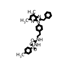 Cc1ccc(S(=O)(=O)NC(=O)NCCc2ccc(-n3c(Cc4ccccc4)nc4c(C)cc(C)nc43)cc2)cc1